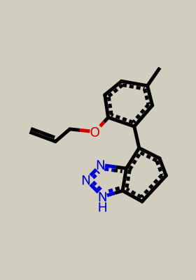 C=CCOc1ccc(C)cc1-c1cccc2[nH]nnc12